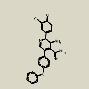 N=C(N)C1=C(c2ccc(Oc3ccccc3)cc2)C=NC(C2=CCC(Cl)C(Cl)=C2)C1N